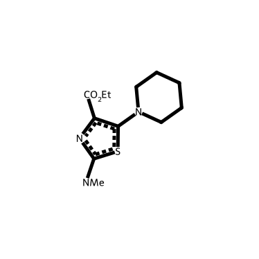 CCOC(=O)c1nc(NC)sc1N1CCCCC1